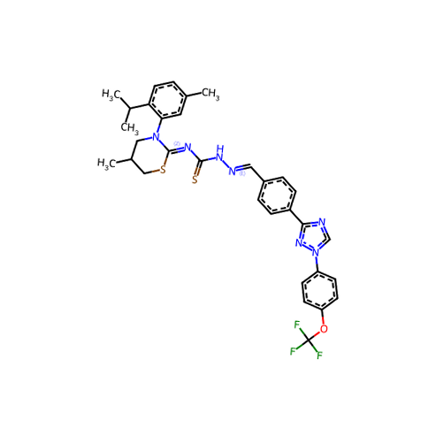 Cc1ccc(C(C)C)c(N2CC(C)CS/C2=N\C(=S)N/N=C/c2ccc(-c3ncn(-c4ccc(OC(F)(F)F)cc4)n3)cc2)c1